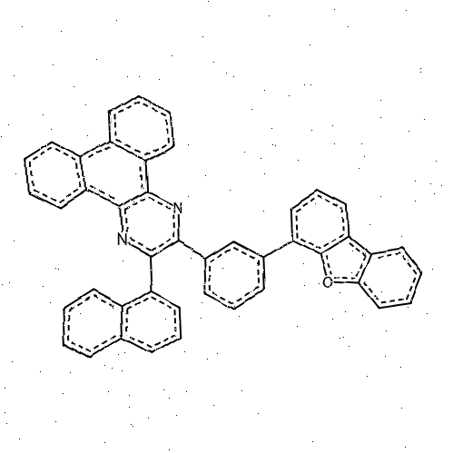 c1cc(-c2nc3c4ccccc4c4ccccc4c3nc2-c2cccc3ccccc23)cc(-c2cccc3c2oc2ccccc23)c1